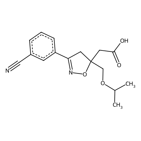 CC(C)OCC1(CC(=O)O)CC(c2cccc(C#N)c2)=NO1